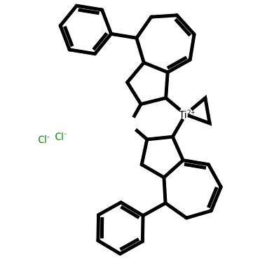 CC1CC2C(=CC=CCC2c2ccccc2)[CH]1[Ti+2]1([CH]2C3=CC=CCC(c4ccccc4)C3CC2C)[CH2][CH2]1.[Cl-].[Cl-]